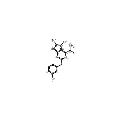 CCc1[nH]c2nc(Cc3cccc(C#N)c3)nc(C(C)N)c2c1Cl